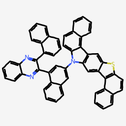 c1ccc2c(-c3nc4ccccc4nc3-c3cc(-n4c5cc6c(cc5c5c7ccccc7ccc54)sc4ccc5ccccc5c46)cc4ccccc34)cccc2c1